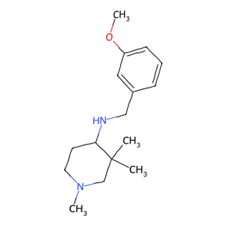 COc1cccc(CNC2CCN(C)CC2(C)C)c1